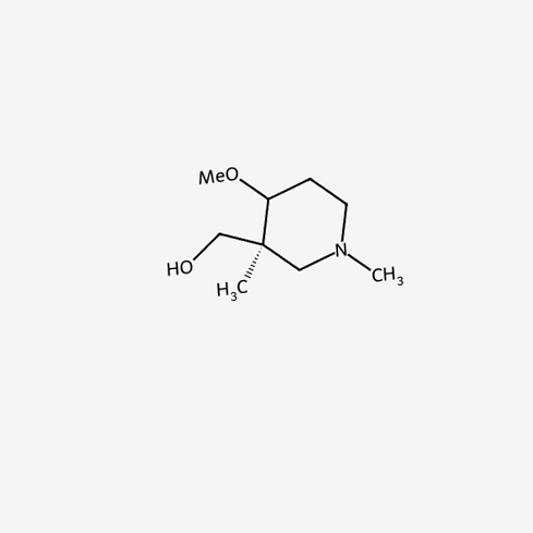 COC1CCN(C)C[C@@]1(C)CO